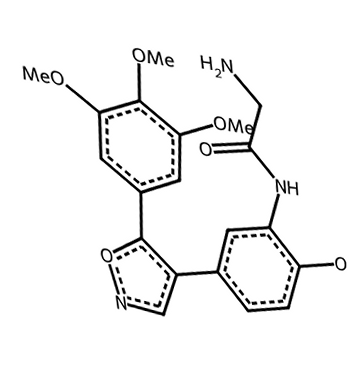 COc1ccc(-c2cnoc2-c2cc(OC)c(OC)c(OC)c2)cc1NC(=O)CN